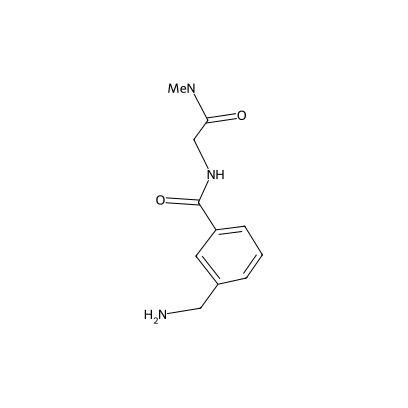 CNC(=O)CNC(=O)c1cccc(CN)c1